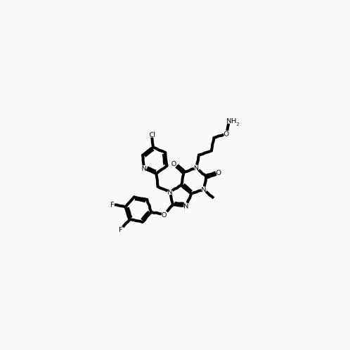 Cn1c(=O)n(CCCON)c(=O)c2c1nc(Oc1ccc(F)c(F)c1)n2Cc1ccc(Cl)cn1